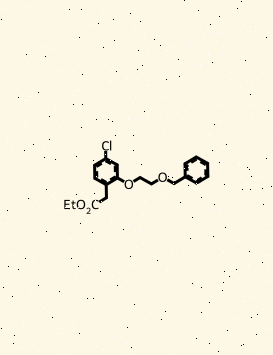 CCOC(=O)Cc1ccc(Cl)cc1OCCOCc1ccccc1